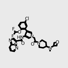 CN(C1CCN(C(=O)Cn2cc(NC(=O)c3cnc4cccnn34)c(-c3cc(Cl)ccc3OC(F)F)c2)CC1)C1COC1